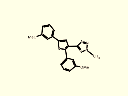 COc1cccc(-c2cc(-c3nnn(C)n3)c(-c3cccc(OC)c3)s2)c1